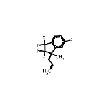 C=CC[C@@]1(C)c2cc(F)ccc2C(F)(F)C1(F)F